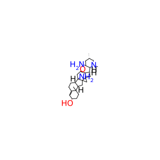 C[C@@H]1CN(C)[C@H]2[C@H]3CC45CC46C[C@H]4[C@@H](CCC7=C[C@@H](O)CCC74C)[C@]6(N)CC[C@@]35O[C@]2(N)C1